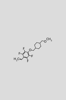 C=Cc1c(F)c(F)c(OCC2CCC(COC)CC2)c(F)c1F